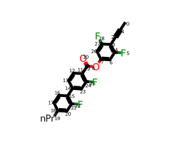 CC#Cc1c(F)cc(OC(=O)c2ccc(-c3ccc(CCC)cc3F)cc2F)cc1F